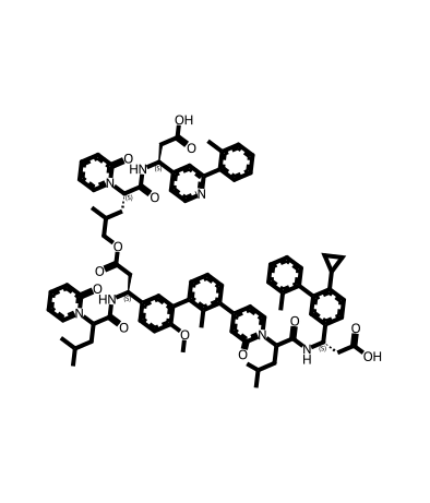 COc1ccc([C@H](CC(=O)OCC(C)C[C@@H](C(=O)N[C@@H](CC(=O)O)c2ccnc(-c3ccccc3C)c2)n2ccccc2=O)NC(=O)C(CC(C)C)n2ccccc2=O)cc1-c1cccc(-c2ccn(C(CC(C)C)C(=O)N[C@@H](CC(=O)O)c3ccc(C4CC4)c(-c4ccccc4C)c3)c(=O)c2)c1C